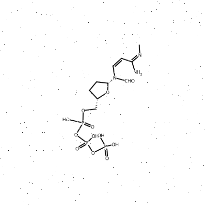 C/N=C(N)\C=C/N(C=O)[C@H]1CC[C@@H](COP(=O)(O)OP(=O)(O)OP(=O)(O)O)O1